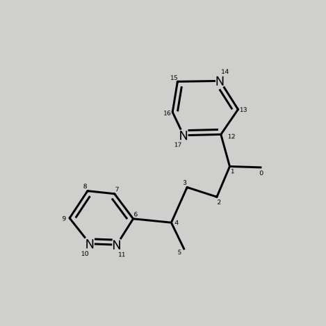 CC(CCC(C)c1cccnn1)c1cnccn1